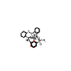 NS(=O)(=O)c1ccccc1NC(=O)c1ccccc1SSc1ccccc1C(=O)Nc1ccccc1S(N)(=O)=O